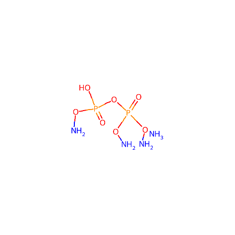 N.NOP(=O)(O)OP(=O)(ON)ON